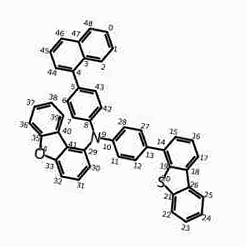 c1ccc2c(-c3ccc(N(c4ccc(-c5cccc6c5sc5ccccc56)cc4)c4cccc5oc6ccccc6c45)cc3)cccc2c1